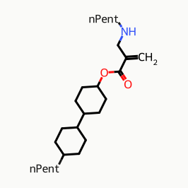 C=C(CNCCCCC)C(=O)OC1CCC(C2CCC(CCCCC)CC2)CC1